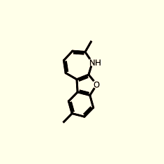 CC1=CC=Cc2c(oc3ccc(C)cc23)N1